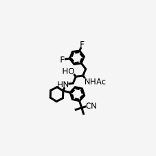 CC(=O)NC(Cc1cc(F)cc(F)c1)C(O)CNC1(c2cccc(C(C)(C)C#N)c2)CCCCC1